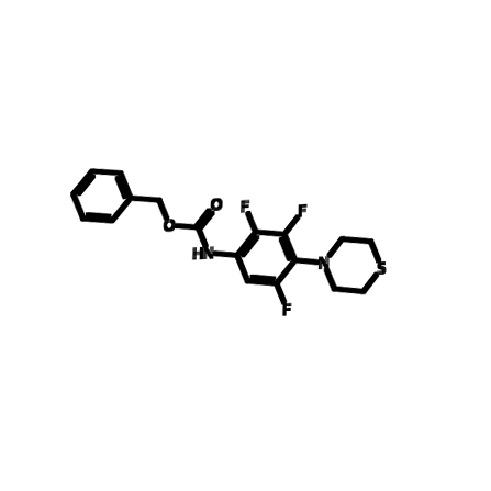 O=C(Nc1cc(F)c(N2CCSCC2)c(F)c1F)OCc1ccccc1